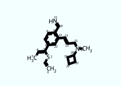 C=CS/C(=C\C)c1ccc(C=N)c(/C=C/CN(C)C2CCC2)c1